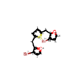 Brc1ccoc1Cc1ccc(Cc2occc2Br)s1